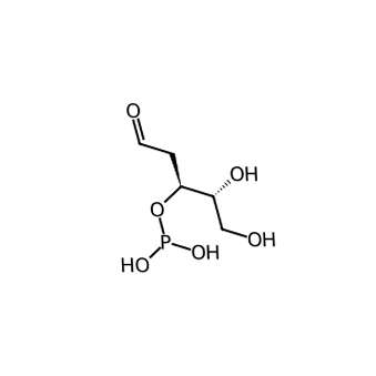 O=CC[C@H](OP(O)O)[C@H](O)CO